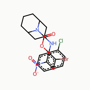 O=C(Oc1c(Cl)cccc1[N+](=O)[O-])N1C2CCCC1CC(Nc1ccccc1Br)C2